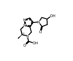 C[C@H]1Cn2ncc(N3CC(O)CC3=O)c2CN1C(=O)O